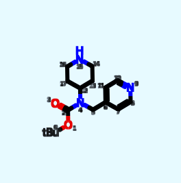 CC(C)(C)OC(=O)N(Cc1ccncc1)C1CCNCC1